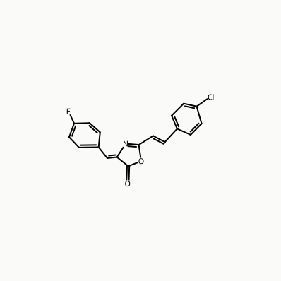 O=C1OC(/C=C/c2ccc(Cl)cc2)=NC/1=C\c1ccc(F)cc1